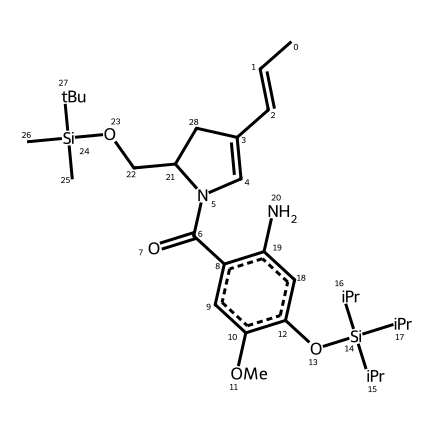 CC=CC1=CN(C(=O)c2cc(OC)c(O[Si](C(C)C)(C(C)C)C(C)C)cc2N)C(CO[Si](C)(C)C(C)(C)C)C1